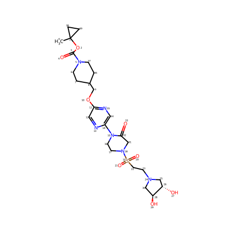 CC1(OC(=O)N2CCC(COc3cnc(N4CCN(S(=O)(=O)CCN5C[C@H](O)[C@@H](O)C5)CC4=O)cn3)CC2)CC1